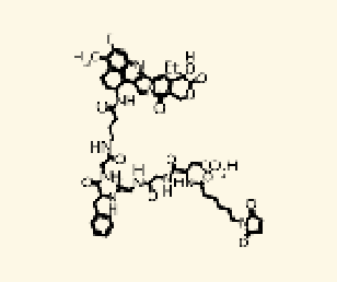 CC[C@@]1(O)C(=O)OCc2c1cc1n(c2=O)Cc2c-1nc1cc(F)c(C)c3c1c2[C@@H](NC(=O)CCCNC(=O)CNC(=O)C(Cc1ccccc1)NC(=O)CNC(=O)CNC(=O)C(CC(=O)O)NC(=O)CCCCCN1C(=O)C=CC1=O)CC3